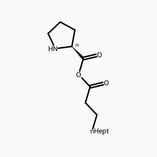 CCCCCCCCCC(=O)OC(=O)[C@@H]1CCCN1